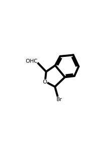 O=CC1OC(Br)c2ccccc21